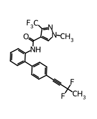 Cn1cc(C(=O)Nc2ccccc2-c2ccc(C#CC(C)(F)F)cc2)c(C(F)(F)F)n1